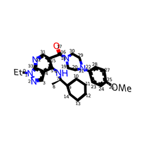 CCn1ncc2c(N[C@H](C)C3CCCCC3)c(C(=O)N3CCN(c4ccc(OC)cc4)CC3)cnc21